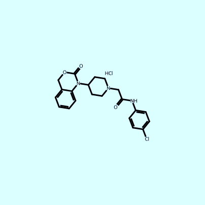 Cl.O=C(CN1CCC(N2C(=O)OCc3ccccc32)CC1)Nc1ccc(Cl)cc1